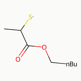 CCCCCOC(=O)C(C)[S]